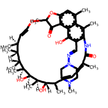 CO[C@H]1/C=C/O[C@@]2(C)Oc3cc(C)c4c(C)c(c(/C=N/N5CCN(C)CC5)c(O)c4c3C2=O)NC(=O)/C(C)=C\C=C\C(C)[C@H](O)[C@@H](C)[C@@H](O)[C@@H](C)[C@H](OC(C)=O)[C@@H]1C